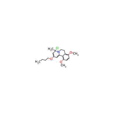 CCCCOC1=CC(C)(Cl)N2CCc3c(OC)ccc(OC)c3C2=C1